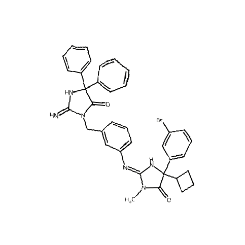 CN1C(=O)C(c2cccc(Br)c2)(C2CCC2)NC1=Nc1cccc(CN2C(=N)NC(c3ccccc3)(c3ccccc3)C2=O)c1